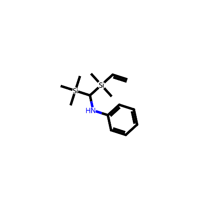 C=C[Si](C)(C)C(Nc1ccccc1)[Si](C)(C)C